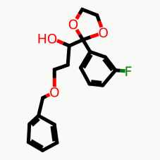 OC(CCOCc1ccccc1)C1(c2cccc(F)c2)OCCO1